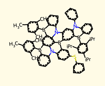 Cc1cc(C)c(B2c3ccccc3N3c4ccc(Sc5ccccc5)cc4B4c5cc6c(cc5N5c7ccccc7B(c7c(C)cc(C)cc7C)c7cc2c3c4c75)N(c2ccccc2)c2ccccc2B6c2c(C(C)C)cc(C(C)C)cc2C(C)C)c(C)c1